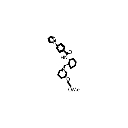 COCCO[C@@H]1CCCN(C[C@@H]2CCCC[C@H]2NC(=O)c2ccc(-n3cccn3)cc2)C1